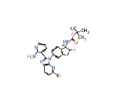 CC(C)(C)OC(=O)N[C@@H]1c2ccc(-n3c(-c4cccnc4N)nc4ccc(Br)nc43)cc2CC1F